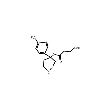 CSCCC(=O)OC1(c2ccc(C(F)(F)F)cc2)CCNCC1